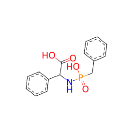 O=C(O)C(NP(=O)(O)Cc1ccccc1)c1ccccc1